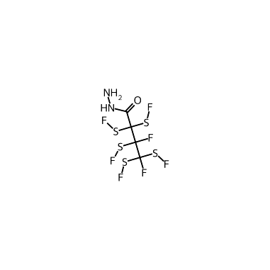 NNC(=O)C(SF)(SF)C(F)(SF)C(F)(SF)SF